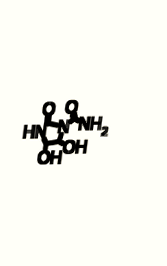 NC(=O)N1C(=O)NC(O)C1O